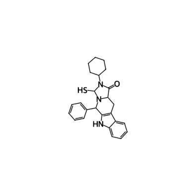 O=C1C2Cc3c([nH]c4ccccc34)C(c3ccccc3)N2C(S)N1C1CCCCC1